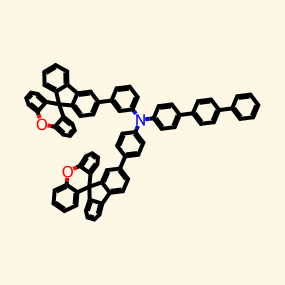 c1ccc(-c2ccc(-c3ccc(N(c4ccc(-c5ccc6c(c5)C5(c7ccccc7Oc7ccccc75)c5ccccc5-6)cc4)c4cccc(-c5ccc6c(c5)-c5ccccc5C65c6ccccc6Oc6ccccc65)c4)cc3)cc2)cc1